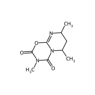 CC1CC(C)N2C(=O)N(C)C(=O)OC2=N1